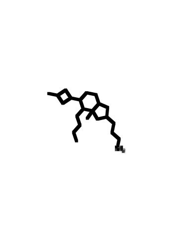 CCCCC1C(C2CC(C)C2)CCC2CC(CCCN)CC21C